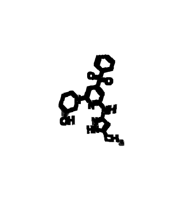 Cc1cc(Nc2cc(S(=O)(=O)c3ccccc3)cc(N3CCC[C@@H](O)C3)n2)n[nH]1